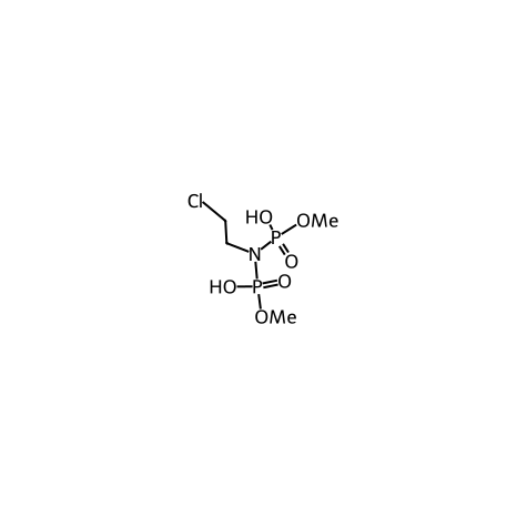 COP(=O)(O)N(CCCl)P(=O)(O)OC